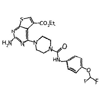 CCOC(=O)c1csc2nc(N)nc(N3CCN(C(=O)Nc4ccc(OC(F)F)cc4)CC3)c12